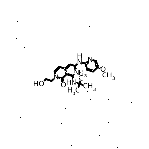 COc1ccc(Nc2cc3ccn(CCO)c(=O)c3c(NC(C)(C)C)n2)nc1